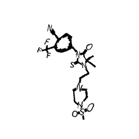 CC1(C)C(=O)N(c2ccc(C#N)c(C(F)(F)F)c2)C(=S)N1CCN1CCN(S(C)(=O)=O)CC1